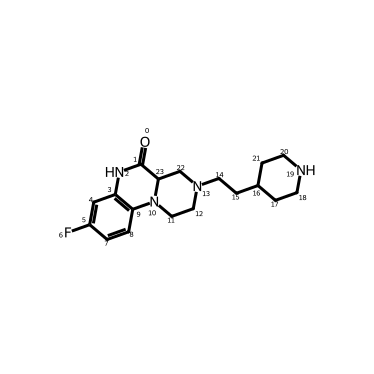 O=C1Nc2cc(F)ccc2N2CCN(CCC3CCNCC3)CC12